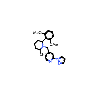 COc1cccc(OC)c1C1CCCC(C=O)N1Cc1ccnc(-n2cccn2)c1